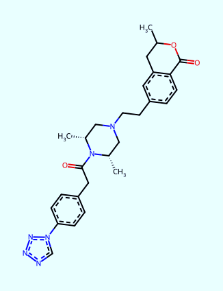 CC1Cc2cc(CCN3C[C@@H](C)N(C(=O)Cc4ccc(-n5cnnn5)cc4)[C@@H](C)C3)ccc2C(=O)O1